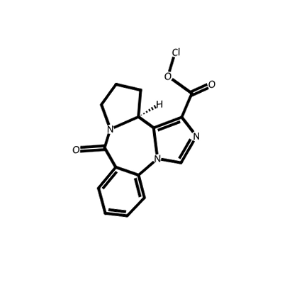 O=C(OCl)c1ncn2c1[C@@H]1CCCN1C(=O)c1ccccc1-2